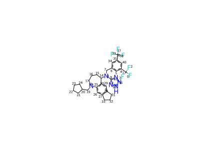 FC(F)(F)c1cc(CN(c2nn[nH]n2)C2CCCN(CC3CCCC3)c3cc4c(cc32)CCC4)cc(C(F)(F)F)c1